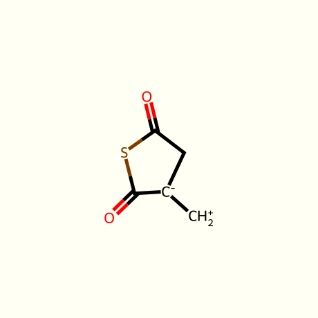 [CH2+][C-]1CC(=O)SC1=O